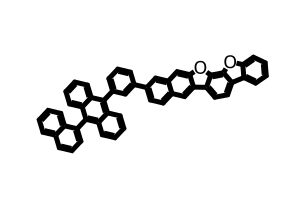 c1cc(-c2ccc3cc4c(cc3c2)oc2c4ccc3c4ccccc4oc32)cc(-c2c3ccccc3c(-c3cccc4ccccc34)c3ccccc23)c1